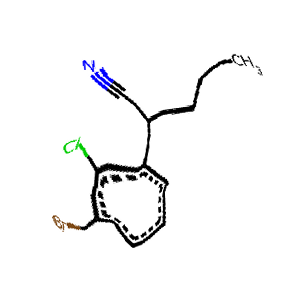 CCCC(C#N)c1cccc(Br)c1Cl